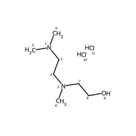 CN(C)CCN(C)CCO.Cl.Cl